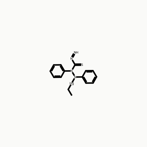 C[CH2][Hg][N](c1ccccc1)N(C(=S)N=N)c1ccccc1